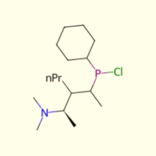 CCCC(C(C)P(Cl)C1CCCCC1)[C@@H](C)N(C)C